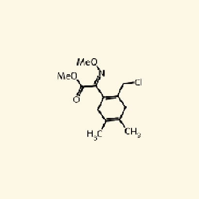 CO/N=C(\C(=O)OC)C1=C(CCl)CC(C)=C(C)C1